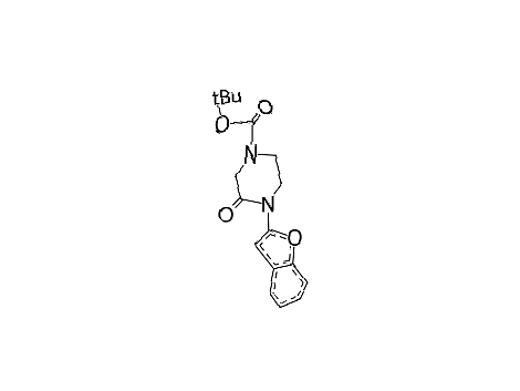 CC(C)(C)OC(=O)N1CCN(c2cc3ccccc3o2)C(=O)C1